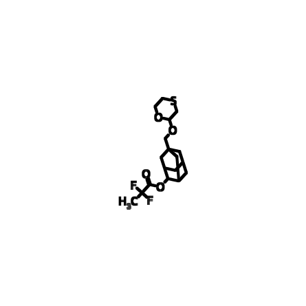 CC(F)(F)C(=O)OC1C2CC3CC1CC(COC1CSCCO1)(C3)C2